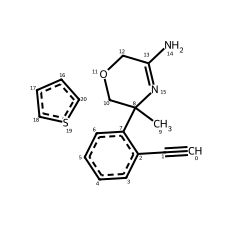 C#Cc1ccccc1C1(C)COCC(N)=N1.c1ccsc1